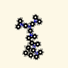 c1ccc([Si](c2ccccc2)(c2ccccc2)c2cc(-n3c4ccccc4c4ccccc43)cc(-n3c4ccccc4c4cc(-c5cccc6c5c5ccccc5n6-c5ccc(N(c6ccc(-n7c8ccccc8c8ccccc87)cc6)c6ccc(-n7c8ccccc8c8ccccc87)cc6)cc5)ccc43)c2)cc1